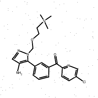 C[Si](C)(C)CCOCn1ncc(N)c1-c1cccc(C(=O)c2ccc(Cl)cn2)c1